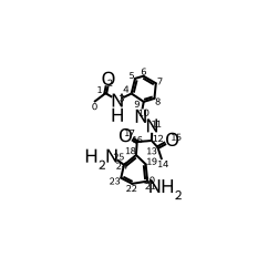 CC(=O)Nc1ccccc1/N=N/C(C(C)=O)C(=O)c1cc(N)ccc1N